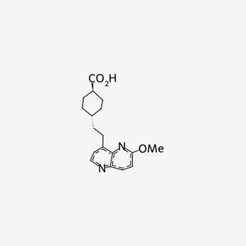 COc1ccc2nccc(CC[C@H]3CC[C@H](C(=O)O)CC3)c2n1